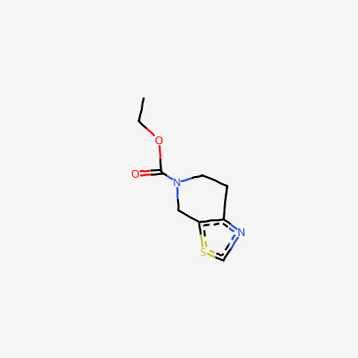 CCOC(=O)N1CCc2ncsc2C1